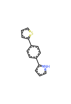 c1c[nH]c(-c2ccc(-c3cccs3)cc2)c1